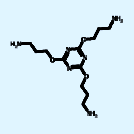 NCCCOc1nc(OCCCN)nc(OCCCN)n1